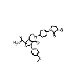 COc1ccc(-n2nc(C(N)=O)c3c2C(=O)N(c2ccc(N4CCC(Cl)C4=O)cc2)CC3)cc1